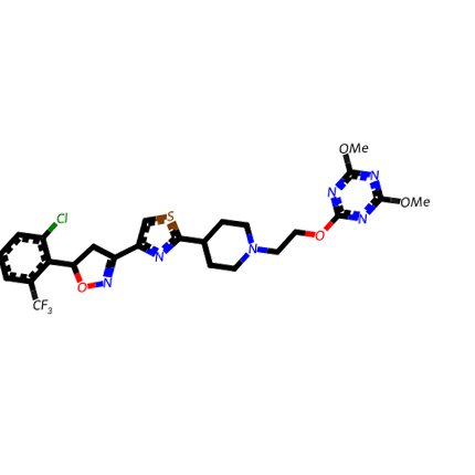 COc1nc(OC)nc(OCCN2CCC(c3nc(C4=NOC(c5c(Cl)cccc5C(F)(F)F)C4)cs3)CC2)n1